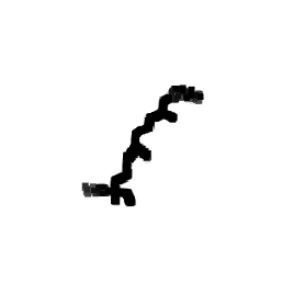 C=CC(C)(O)CC/C=C(\C)CC/C=C(\C)COC